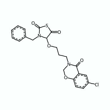 O=C1SC(=O)N(Cc2ccccc2)C1OCCCN1COc2ccc(Cl)cc2C1=O